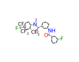 O=C(Nc1cccc(C(=O)N(I)c2ccc(C(F)(C(F)(F)F)C(F)(F)F)cc2C(F)(F)F)c1)c1cccc(F)c1